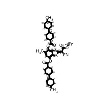 Cc1cc(OC(=O)C2CCC(C3CCC(C)CC3)CC2)c2c(c1OC(=O)C1CCC(C3CCC(C)CC3)CC1)S/C(=C(/C#N)C(=O)OC(C)C)S2